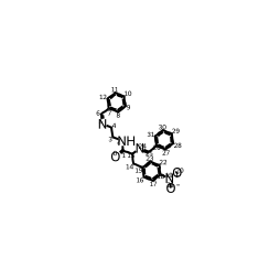 O=C(NCC/N=C\c1ccccc1)C(Cc1ccc([N+](=O)[O-])cc1)/N=C/c1ccccc1